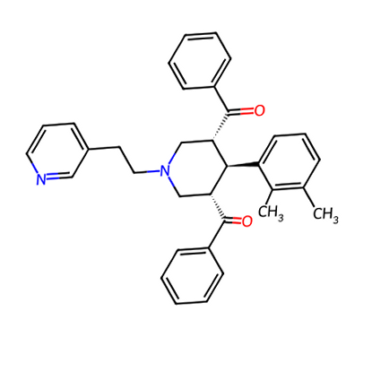 Cc1cccc([C@@H]2[C@@H](C(=O)c3ccccc3)CN(CCc3cccnc3)C[C@H]2C(=O)c2ccccc2)c1C